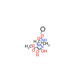 COC(=O)c1nc(C(C)(C)NC(=O)OCc2ccccc2)nc(O)c1O